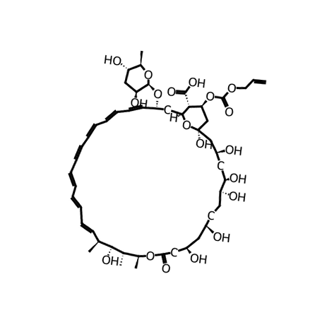 C=CCOC(=O)O[C@H]1C[C@@]2(O)C[C@@H](O)C[C@@H](O)[C@H](O)CC[C@@H](O)C[C@@H](O)CC(=O)O[C@@H](C)[C@H](C)[C@H](O)[C@@H](C)/C=C/C=C/C=C/C=C/C=C/C=C/C=C/[C@H](O[C@@H]3O[C@H](C)[C@@H](O)C[C@@H]3O)C[C@H](O2)[C@@H]1C(=O)O